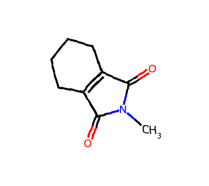 CN1C(=O)C2=C(CCCC2)C1=O